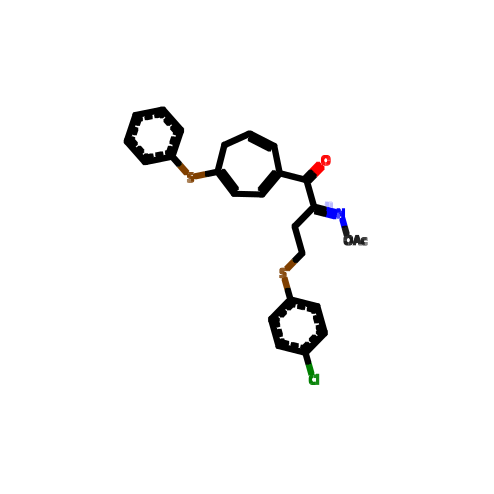 CC(=O)O/N=C(\CCSc1ccc(Cl)cc1)C(=O)C1=CC=C(Sc2ccccc2)CC=C1